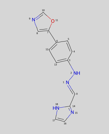 C(=NNc1ccc(-c2cnco2)cc1)c1ncc[nH]1